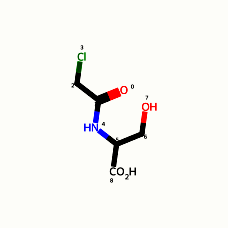 O=C(CCl)NC(CO)C(=O)O